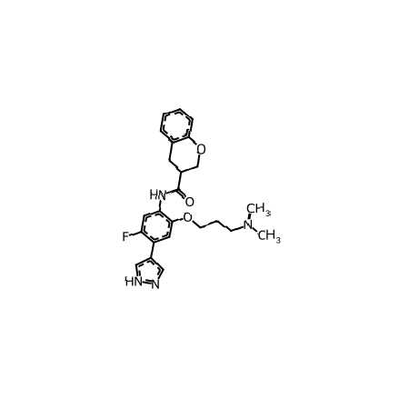 CN(C)CCCOc1cc(-c2cn[nH]c2)c(F)cc1NC(=O)C1COc2ccccc2C1